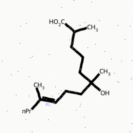 CCC/C(C)=C/CCC(C)(O)CCCC(C)C(=O)O